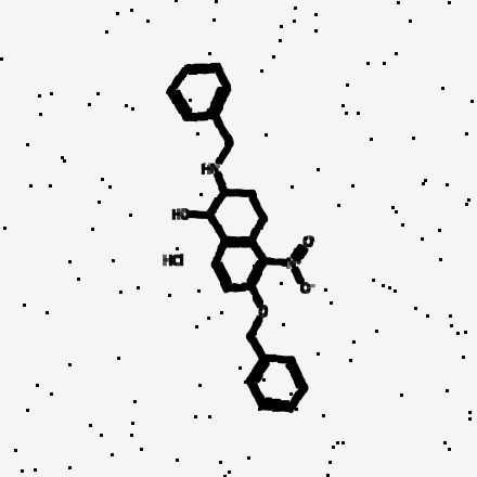 Cl.O=[N+]([O-])c1c(OCc2ccccc2)ccc2c1CCC(NCc1ccccc1)C2O